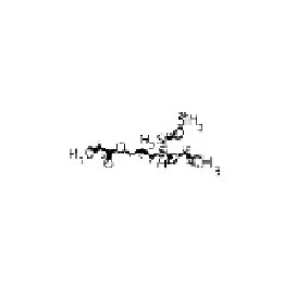 C=CC(=O)OCCC[SiH](OCC)[SiH2]O[SiH3]